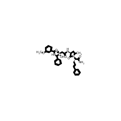 COc1cccc(C(=O)NC(c2ccccc2)P(=O)(O)CC(=O)N[C@H]2CC(C)N([C@@H](C/C=C/c3ccccc3)C(N)=O)C2=O)c1